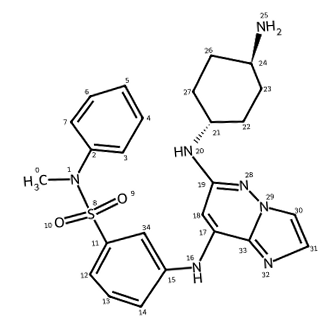 CN(c1ccccc1)S(=O)(=O)c1cccc(Nc2cc(N[C@H]3CC[C@H](N)CC3)nn3ccnc23)c1